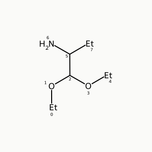 CCOC(OCC)C(N)CC